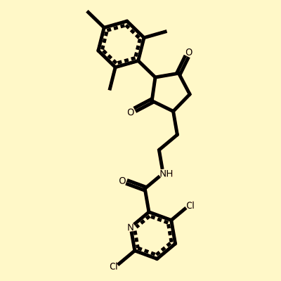 Cc1cc(C)c(C2C(=O)CC(CCNC(=O)c3nc(Cl)ccc3Cl)C2=O)c(C)c1